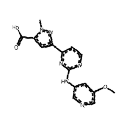 COc1cncc(Nc2nccc(-c3cc(C(=O)O)n(C)n3)n2)c1